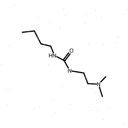 CCCCNC(=O)[N]CCN(C)C